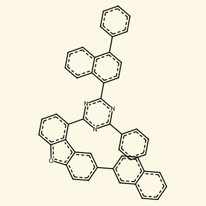 c1ccc(-c2nc(-c3ccc(-c4ccccc4)c4ccccc34)nc(-c3cccc4oc5ccc(-c6ccc7ccccc7c6)cc5c34)n2)cc1